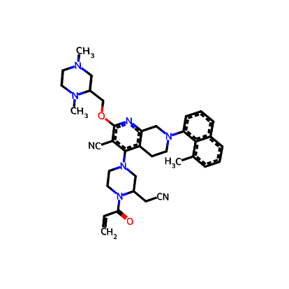 C=CC(=O)N1CCN(c2c(C#N)c(OCC3CN(C)CCN3C)nc3c2CCN(c2cccc4cccc(C)c24)C3)CC1CC#N